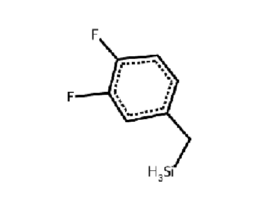 Fc1ccc(C[SiH3])cc1F